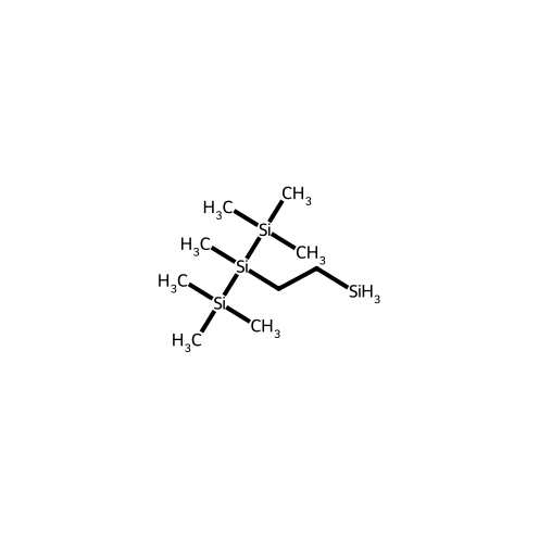 C[Si](C)(C)[Si](C)(CC[SiH3])[Si](C)(C)C